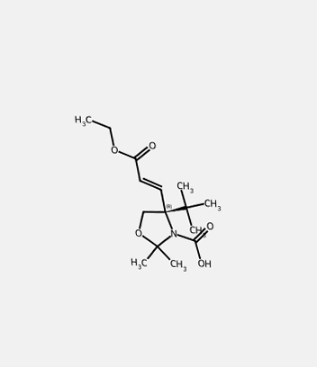 CCOC(=O)C=C[C@@]1(C(C)(C)C)COC(C)(C)N1C(=O)O